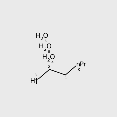 CCCC[CH2][Hf].O.O.O